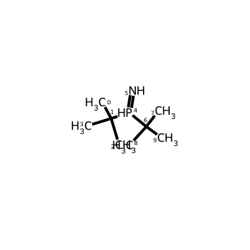 CC(C)(C)[PH](=N)C(C)(C)C